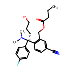 CCCC(=O)OCc1cc(C#N)ccc1[C@@](CCCO)(c1ccc(F)cc1)N(C)C